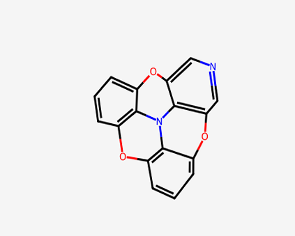 c1cc2c3c(c1)Oc1cncc4c1N3c1c(cccc1O4)O2